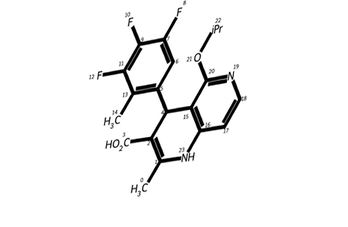 CC1=C(C(=O)O)C(c2cc(F)c(F)c(F)c2C)c2c(ccnc2OC(C)C)N1